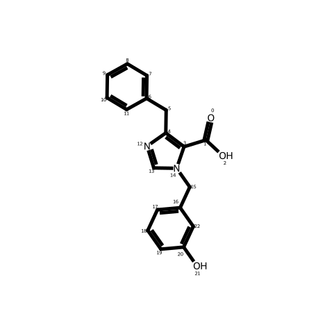 O=C(O)c1c(Cc2ccccc2)ncn1Cc1cccc(O)c1